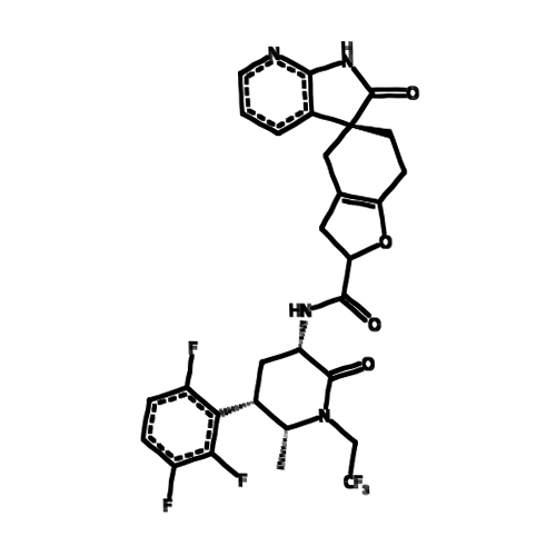 C[C@@H]1[C@H](c2c(F)ccc(F)c2F)C[C@H](NC(=O)C2CC3=C(CC[C@]4(C3)C(=O)Nc3ncccc34)O2)C(=O)N1CC(F)(F)F